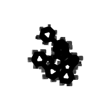 c1ccc(-c2ccc(-c3cccc4c3C3(c5ccccc5-4)c4ccccc4-n4c5ccccc5c5cccc3c54)cc2)cc1